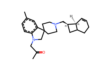 CC(=O)CN1CC2(CCN(C[C@@H]3CC4CCC=C[C@@H]43)CC2)c2cc(C)ccc21